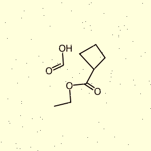 CCOC(=O)C1CCC1.O=CO